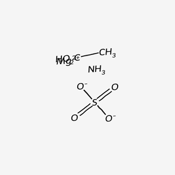 CC(=O)O.N.O=S(=O)([O-])[O-].[Mg+2]